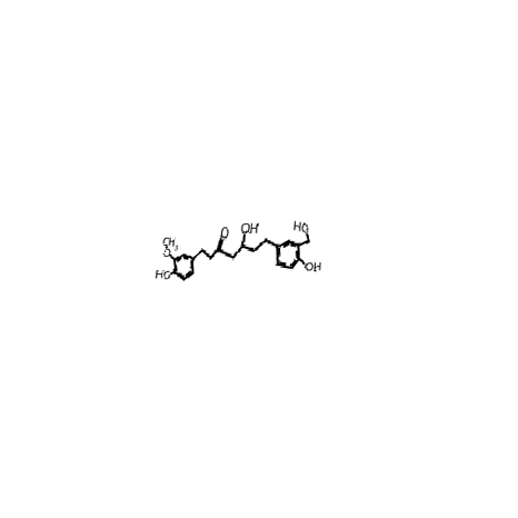 COc1cc(CCC(=O)CC(O)CCc2ccc(O)c(CO)c2)ccc1O